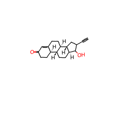 C#CC1C[C@H]2[C@@H]3CCC4=CC(=O)CC[C@@H]4[C@H]3CC[C@@H]2C1O